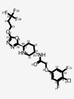 O=C(COc1cc(F)c(Cl)c(F)c1)N[C@H]1CC[C@H](c2nnc(OCCC(F)(F)F)o2)NC1